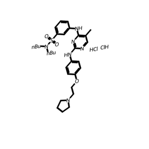 CCCCN(CCCC)S(=O)(=O)c1cccc(Nc2nc(Nc3ccc(OCCN4CCCC4)cc3)ncc2C)c1.Cl.Cl